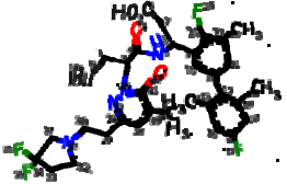 CCC(C)C[C@@H](C(=O)N[C@@H](CC(=O)O)c1cc(-c2c(C)cc(F)cc2C)cc(C)c1F)n1nc(CCN2CCC(F)(F)C2)cc(C)c1=O